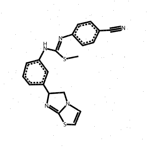 CSC(=Nc1ccc(C#N)cc1)Nc1cccc(C2CN3C=CSC3=N2)c1